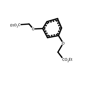 CCOC(=O)COc1c[c]cc(OCC(=O)OCC)c1